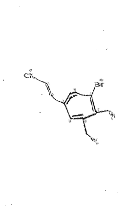 [C-]#[N+]C=Cc1cc(Br)c(O)c(Br)c1